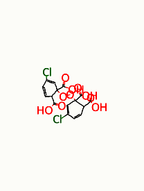 O=C(O)C1C=CC(Cl)=CC1(OOC1(C(=O)O)C=C(Cl)C=CC1C(=O)O)C(=O)O